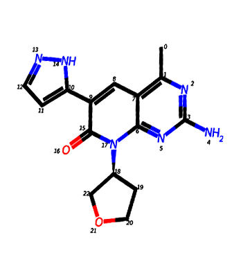 Cc1nc(N)nc2c1cc(-c1ccn[nH]1)c(=O)n2[C@H]1CCOC1